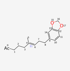 CC(=O)CCC/C(C)=C/CCc1ccc2c(c1)OCO2